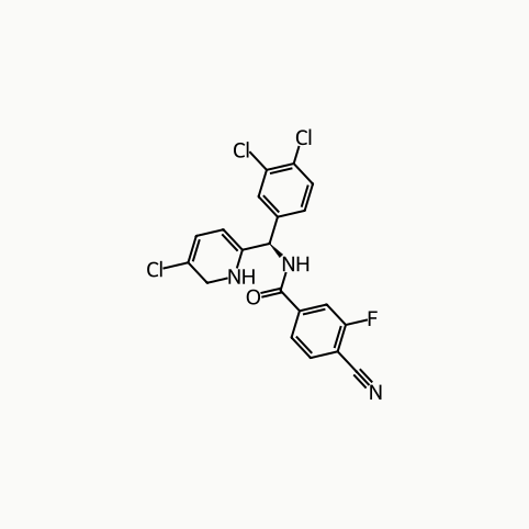 N#Cc1ccc(C(=O)N[C@@H](C2=CC=C(Cl)CN2)c2ccc(Cl)c(Cl)c2)cc1F